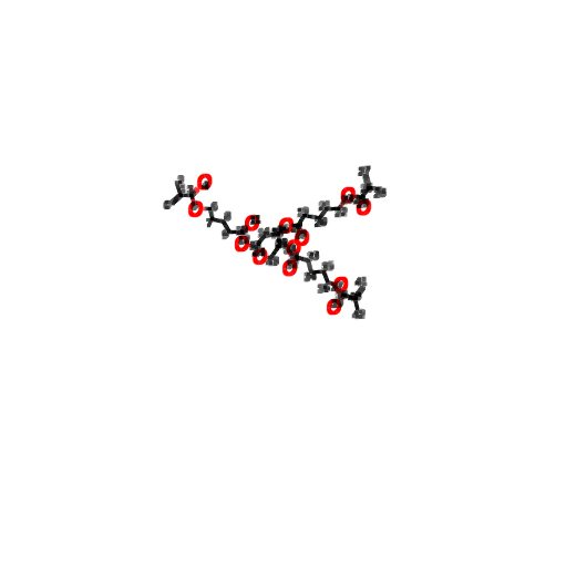 C=C(C)C(=O)OCCCCC(=O)OC1C[C@H](OC(=O)CCCCOC(=O)C(=C)C)[C@H](OC(=O)CCCCOC(=O)C(=C)C)CO1